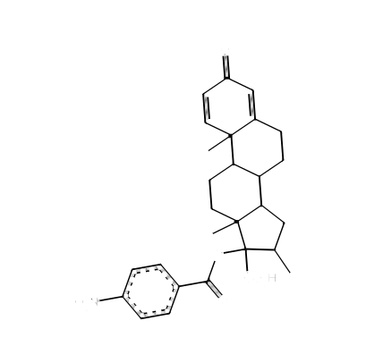 CC1CC2C3CCC4=CC(=O)C=CC4(C)C3CCC2(C)C1(OC(=O)c1ccc([N+](=O)[O-])cc1)C(=O)O